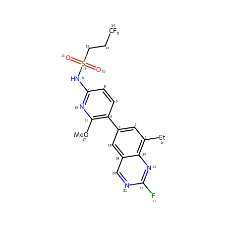 CCc1cc(-c2ccc(NS(=O)(=O)CCC(F)(F)F)nc2OC)cc2cnc(F)nc12